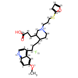 COc1ccc2nccc([C@@H](F)CCC3CCN(CCCSc4ccco4)CC3CCC(=O)O)c2c1